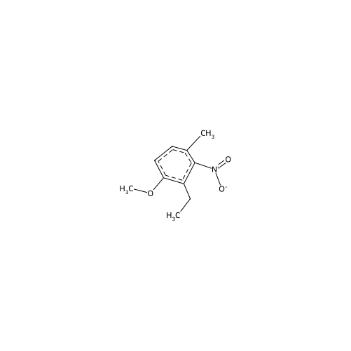 CCc1c(OC)ccc(C)c1[N+](=O)[O-]